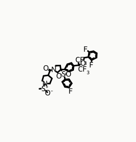 C[S+]([O-])N1CCC(C(=O)N2CCC(c3ccc(C(OCc4c(F)cccc4F)(C(F)(F)F)C(F)(F)F)cc3)(S(=O)(=O)c3ccc(F)cc3)C2)CC1